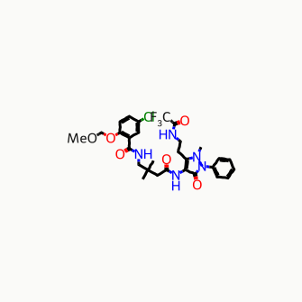 COCOc1ccc(Cl)cc1C(=O)NCC(C)(C)CC(=O)Nc1c(CCNC(=O)C(F)(F)F)n(C)n(-c2ccccc2)c1=O